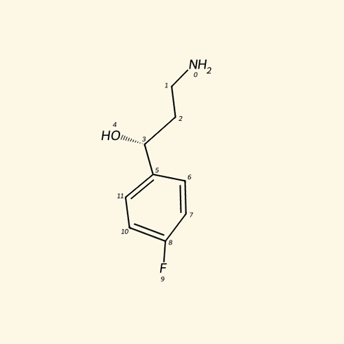 NCC[C@@H](O)c1ccc(F)cc1